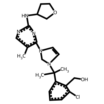 Cc1cnc(NC2CCOC2)nc1N1C=CN(C(C)(C)c2cccc(Cl)c2CO)C1